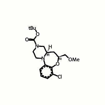 COC[C@@H]1C[C@@H]2CN(C(=O)OC(C)(C)C)CCN2c2cccc(Cl)c2O1